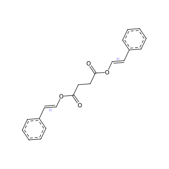 O=C(CCC(=O)O/C=C/c1ccccc1)O/C=C/c1ccccc1